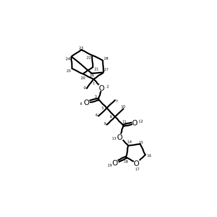 CC1(OC(=O)C(C)(C)C(C)(C)C(=O)OC2CCOC2=O)C2CC3CC(C2)CC1C3